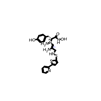 N/C(=C\N(N)[C@H](Cc1ccc(O)cc1)C(=O)NO)CNSc1ccc(-c2ccccn2)s1